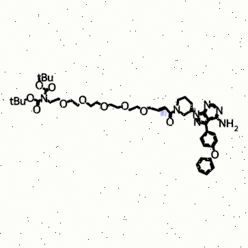 CC(C)(C)OC(=O)N(CCOCCOCCOCCOCCOC/C=C/C(=O)N1CCC[C@@H](n2nc(-c3ccc(Oc4ccccc4)cc3)c3c(N)ncnc32)C1)C(=O)OC(C)(C)C